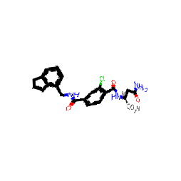 NC(=O)C[C@H](NC(=O)c1ccc(C(=O)NCc2cccc3c2C=CC3)cc1Cl)C(=O)O